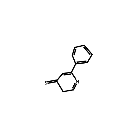 S=C1C=C(c2ccccc2)N=CC1